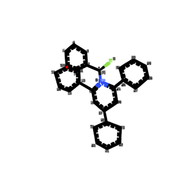 F[C@H](c1ccccc1)[n+]1c(-c2ccccc2)cc(-c2ccccc2)cc1-c1ccccc1